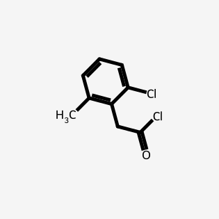 Cc1cccc(Cl)c1CC(=O)Cl